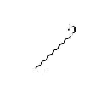 O=C(O)CCCCCCCCCCCCn1ccnc1